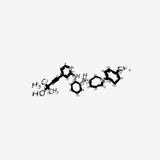 CC(C)(O)C#Cc1ccnc(N[C@@H]2CCCC[C@H]2N[C@H]2CCCN(c3ccc(C(F)(F)F)cc3)C2)c1